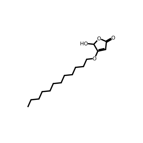 CCCCCCCCCCCCOC1=CC(=O)OC1O